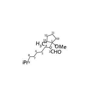 COC1(C(C=O)CCCCCC(C)C)CCCC1C